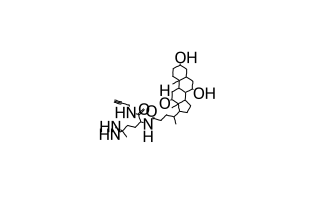 C#CCNC(=O)C(CCC1(C)NN1)NC(=O)CCC(C)C1CCC2C3C(O)CC4CC(O)CCC4(C)C3CC(O)C12C